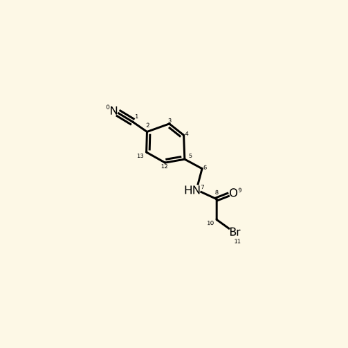 N#Cc1ccc(CNC(=O)CBr)cc1